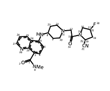 CNC(=O)c1ccc(NC2CCN(CC(=O)N3C[C@@H](F)C[C@H]3C#N)CC2)c2cccnc12